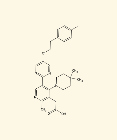 Cc1ncc(-c2ncc(OCCc3ccc(F)cc3)cn2)c(N2CCC(C)(C)CC2)c1CC(=O)O